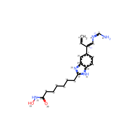 C=C/C(=C\N=C/N)c1ccc2[nH]c(CCCCCCC(=O)NO)nc2c1